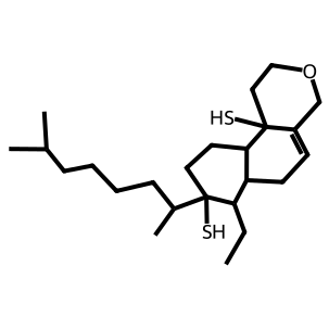 CCC1C2CC=C3COCCC3(S)C2CCC1(S)C(C)CCCCC(C)C